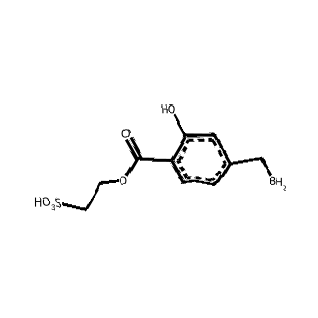 BCc1ccc(C(=O)OCCS(=O)(=O)O)c(O)c1